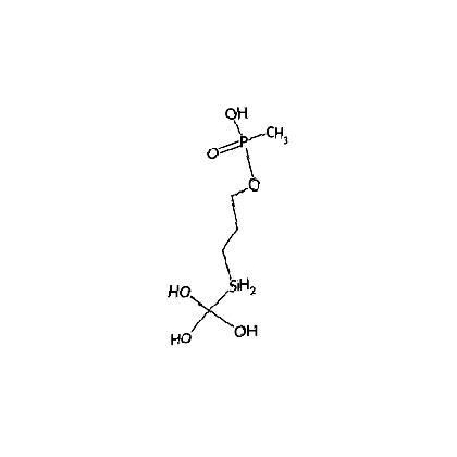 CP(=O)(O)OCCC[SiH2]C(O)(O)O